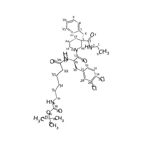 CCNC(=O)[C@]1(Cc2ccccc2)CCCN(C(=O)[C@@H](Cc2ccc(Cl)c(Cl)c2)NC(=O)CCCCCNC(=O)OC(C)(C)C)C1